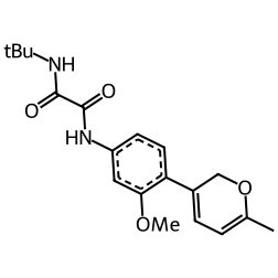 COc1cc(NC(=O)C(=O)NC(C)(C)C)ccc1C1=CC=C(C)OC1